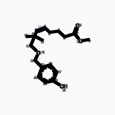 COC(=O)CCC/C=C\C(C)(C)COCc1ccc(O)cc1